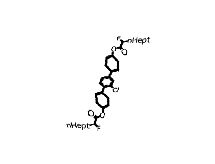 CCCCCCC[C@H](F)C(=O)OC1CCC(c2ccc(C3CCC(OC(=O)[C@@H](F)CCCCCCC)CC3)c(Cl)c2)CC1